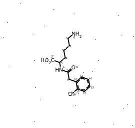 NCCCCC(NC(=O)Cc1ccccc1Cl)C(=O)O